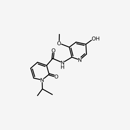 COc1cc(O)cnc1NC(=O)c1cccn(C(C)C)c1=O